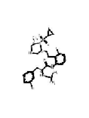 CC(C)N[C@@H](Cc1cccc(Cl)c1)C(=O)Nc1cccc(F)c1CC[C@H]1CNC[C@H](C)N1S(=O)(=O)C1CC1